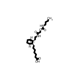 CCCCNC(=O)OCC(=O)NCC[C@H]1[C@@H](CCCCCCC(=O)O)[C@H]2CC[C@@H]1O2